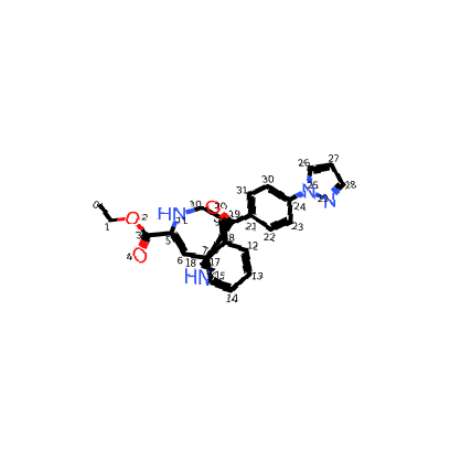 CCOC(=O)C1=CC23C(=CCN1)C=CC=C2NCC3C(=O)c1ccc(-n2cccn2)cc1